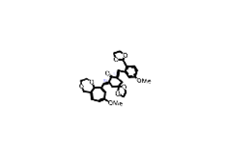 COC1=CC=C2COCCOC2C(/C=C2\CC3(C/C(=C\c4cc(OC)ccc4C4OCCO4)C2=O)OCCO3)=C1